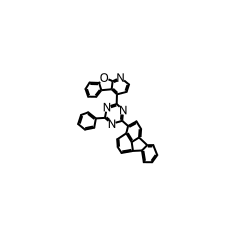 c1ccc(-c2nc(-c3ccc4c5c(cccc35)-c3ccccc3-4)nc(-c3ccnc4oc5ccccc5c34)n2)cc1